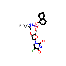 CCOC(=O)[C@H](C)NP(=O)(OC[C@H]1O[C@@H](N2C=C(F)C(=O)NC2O)CC1O)Oc1cccc2ccccc12